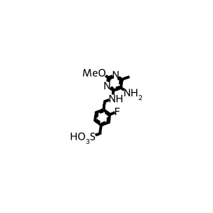 COc1nc(C)c(N)c(NCc2ccc(CS(=O)(=O)O)cc2F)n1